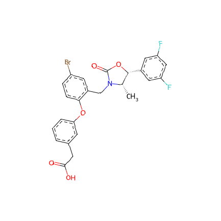 C[C@H]1[C@@H](c2cc(F)cc(F)c2)OC(=O)N1Cc1cc(Br)ccc1Oc1cccc(CC(=O)O)c1